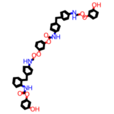 O=C(Nc1ccc(Cc2ccc(NCOOc3cccc(O)c3)cc2)cc1)Oc1cccc(OOCNc2ccc(Cc3ccccc3NC(=O)Oc3cccc(O)c3)cc2)c1